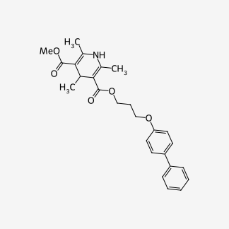 COC(=O)C1=C(C)NC(C)=C(C(=O)OCCCOc2ccc(-c3ccccc3)cc2)C1C